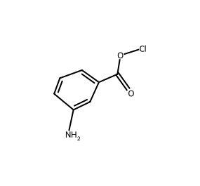 Nc1cccc(C(=O)OCl)c1